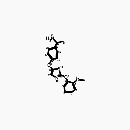 COc1ccccc1Oc1ncc(Oc2ccc(C(C)N)cc2)s1